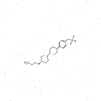 CCCC[C@H]1CC[C@H]([C@H]2CC[C@H](c3ccc(CC(F)(F)F)cc3)CC2)CC1